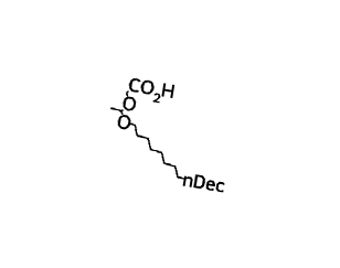 CCCCCCCCCCCCCCCCCCOC(C)OCC(=O)O